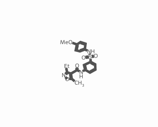 CCc1noc(C)c1C(=O)Nc1cccc(S(=O)(=O)Nc2ccc(OC)cc2)c1